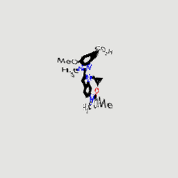 COC(=O)N(C)c1ccc2cc(-c3nc4cc(C(=O)O)cc(OC)c4n3C)n(CC3CC3)c2c1